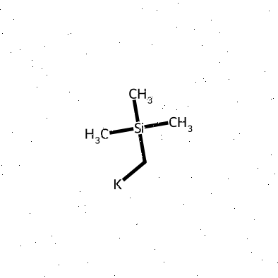 C[Si](C)(C)[CH2][K]